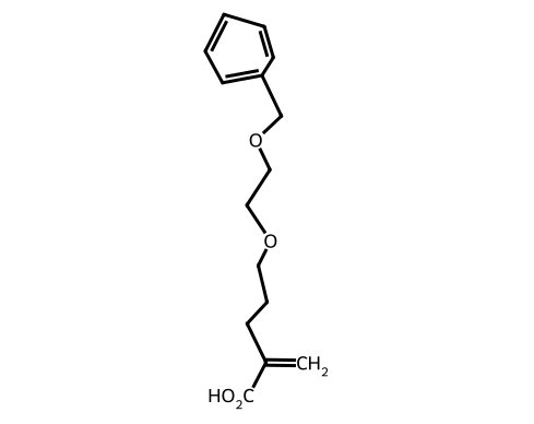 C=C(CCCOCCOCc1ccccc1)C(=O)O